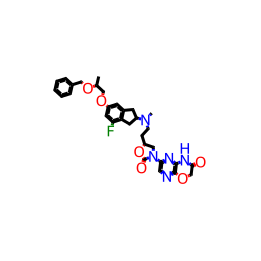 CC(COc1cc(F)c2c(c1)CC(N(C)CCC1CN(c3cnc4c(n3)NC(=O)CO4)C(=O)O1)C2)OCc1ccccc1